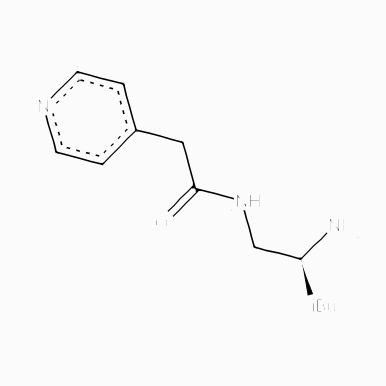 CCC(C)[C@H](N)CNC(=O)Cc1ccncc1